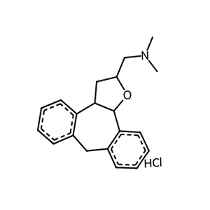 CN(C)CC1CC2c3ccccc3Cc3ccccc3C2O1.Cl